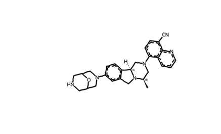 C[C@@H]1CN(c2ccc(C#N)c3ncccc23)C[C@@H]2c3ccc(N4CC5CNCC(C4)O5)cc3CN12